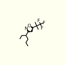 CCCC(CC)c1cc(C(C)(C)C(F)(F)F)on1